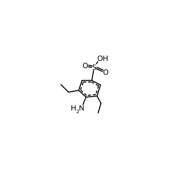 CCc1cc(S(=O)(=O)O)cc(CC)c1N